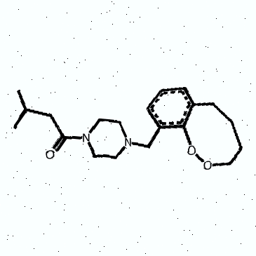 C[C](C)CC(=O)N1CCN(Cc2cccc3c2OOCCCC3)CC1